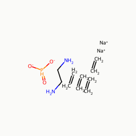 C=C.C=C.C=C.C=C.NCCN.O=[PH]([O-])[O-].[Na+].[Na+]